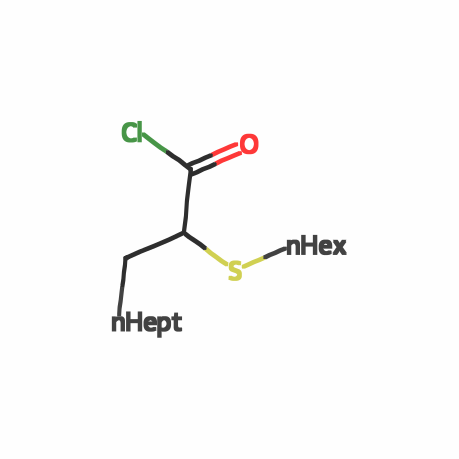 CCCCCCCCC(SCCCCCC)C(=O)Cl